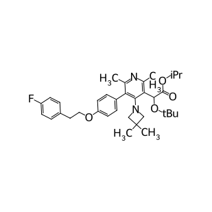 Cc1nc(C)c(C(OC(C)(C)C)C(=O)OC(C)C)c(N2CC(C)(C)C2)c1-c1ccc(OCCc2ccc(F)cc2)cc1